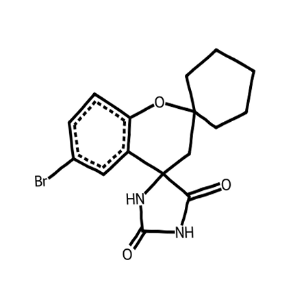 O=C1NC(=O)C2(CC3(CCCCC3)Oc3ccc(Br)cc32)N1